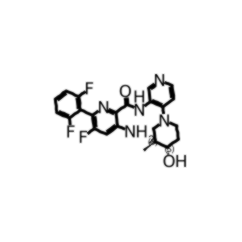 C[C@H]1CN(c2ccncc2NC(=O)c2nc(-c3c(F)cccc3F)c(F)cc2N)CC[C@@H]1O